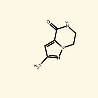 Nc1cc2n(n1)CCNC2=O